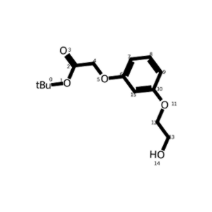 CC(C)(C)OC(=O)COc1cccc(OCCO)c1